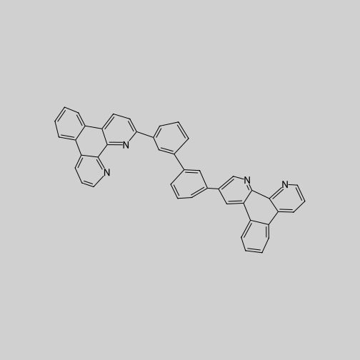 c1cc(-c2cccc(-c3ccc4c5ccccc5c5cccnc5c4n3)c2)cc(-c2cnc3c(c2)c2ccccc2c2cccnc23)c1